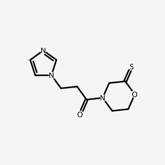 O=C(CCn1c[c]nc1)N1CCOC(=S)C1